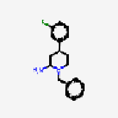 NC1CC(c2cccc(F)c2)CCN1Cc1ccccc1